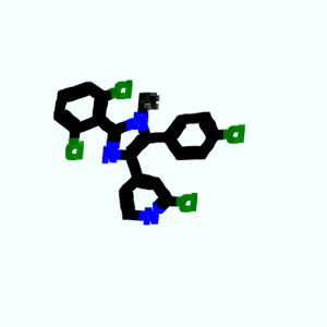 CCn1c(-c2c(Cl)cccc2Cl)nc(-c2ccnc(Cl)c2)c1-c1ccc(Cl)cc1